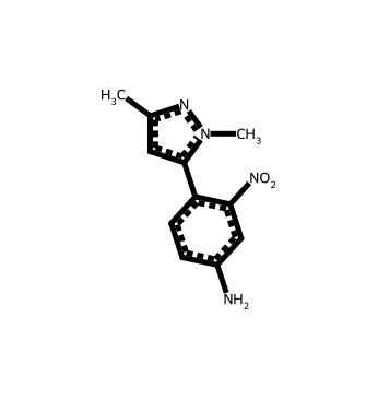 Cc1cc(-c2ccc(N)cc2[N+](=O)[O-])n(C)n1